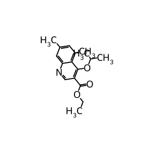 CCOC(=O)c1cnc2cc(C)cc(C)c2c1OC(C)C